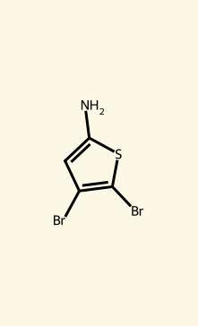 Nc1cc(Br)c(Br)s1